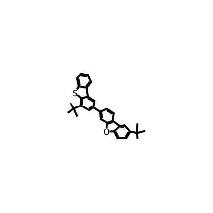 CC(C)(C)c1ccc2oc3cc(-c4cc(C(C)(C)C)c5sc6ccccc6c5c4)ccc3c2c1